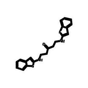 O=C(CCNc1cc2ccccc2s1)CCNc1cc2ccccc2s1